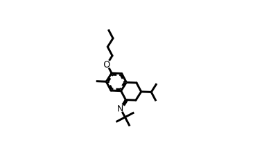 CCCCOc1cc2c(cc1C)C(=NC(C)(C)C)CC(C(C)C)C2